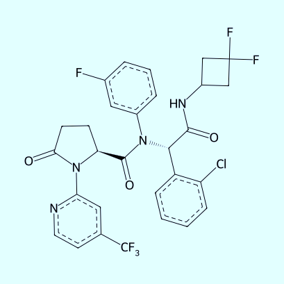 O=C(NC1CC(F)(F)C1)[C@H](c1ccccc1Cl)N(C(=O)[C@@H]1CCC(=O)N1c1cc(C(F)(F)F)ccn1)c1cccc(F)c1